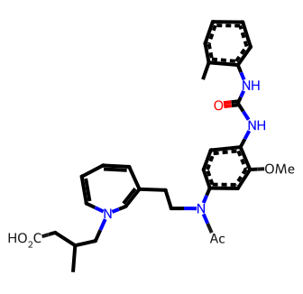 COc1cc(N(CCC2=CN(CC(C)CC(=O)O)C=CC=C2)C(C)=O)ccc1NC(=O)Nc1ccccc1C